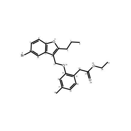 CCCc1oc2ccc(Br)cc2c1COc1cc(C)ccc1CC(=O)OCC